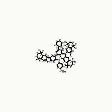 CCCCc1ccc(N2B3c4cc5c(cc4N(c4cc6c(cc4C)C(C)(C)CCC6(C)C)c4c3c(cc3c4oc4ccccc43)-c3cc4c(cc32)oc2cc3c(cc24)C(C)(C)CCC3(C)C)C(C)(C)CCC5(C)C)cc1